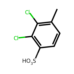 Cc1ccc(S(=O)(=O)O)c(Cl)c1Cl